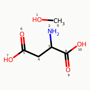 CO.NC(CC(=O)O)C(=O)O